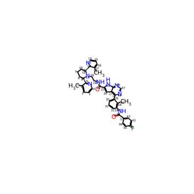 Cc1cccnc1[C@H]1CCC[C@@H](c2ncccc2C)N1CCNC(=O)c1cc2c(-c3cccc(NC(=O)c4ccc(F)cc4)c3C)ncnc2[nH]1